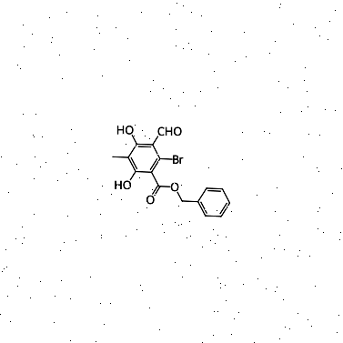 Cc1c(O)c(C=O)c(Br)c(C(=O)OCc2ccccc2)c1O